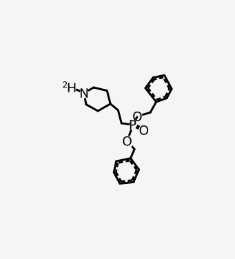 [2H]N1CCC(CCP(=O)(OCc2ccccc2)OCc2ccccc2)CC1